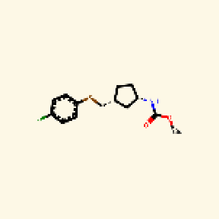 CC(C)(C)OC(=O)N[C@H]1CC[C@@H](CSc2ccc(F)cc2)C1